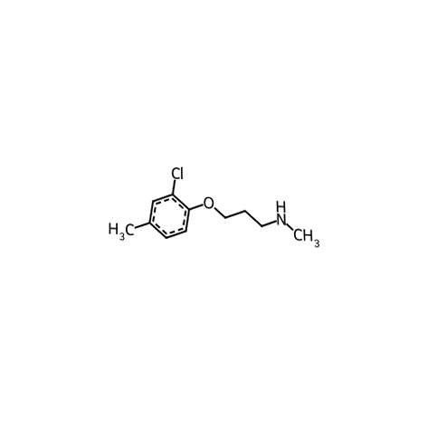 CNCCCOc1ccc(C)cc1Cl